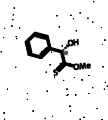 COC(=S)[C@@H](O)c1ccccc1